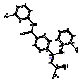 CC(=O)c1cccc(NC(=O)c2ccc(/C(=C/C(=N)C(F)(F)F)Nc3ccccc3Cl)cc2)c1